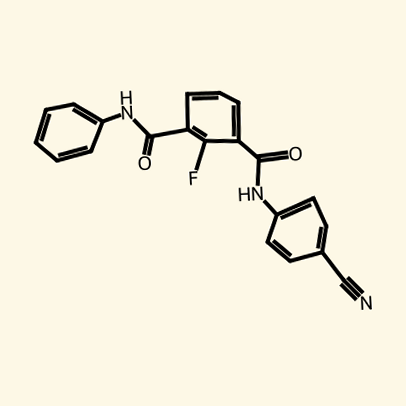 N#Cc1ccc(NC(=O)c2cccc(C(=O)Nc3ccccc3)c2F)cc1